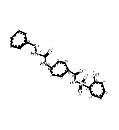 O=C(NSc1ccccc1)Nc1ccc(C(=O)NS(=O)(=O)c2ccccc2O)cc1